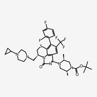 C[C@H]1CN(c2nc(=O)n3c4c(c(-c5ccc(F)cc5F)c(C(F)(F)F)cc24)SC[C@@H]3CN2CCN(C3CC3)CC2)[C@@H](C)CN1C(=O)OC(C)(C)C